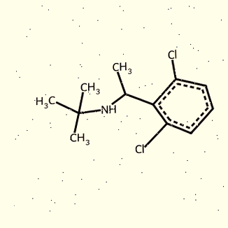 CC(NC(C)(C)C)c1c(Cl)cccc1Cl